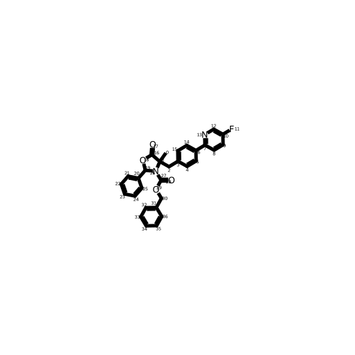 CC1(Cc2ccc(-c3ccc(F)cn3)cc2)C(=O)OC(c2ccccc2)N1C(=O)OCc1ccccc1